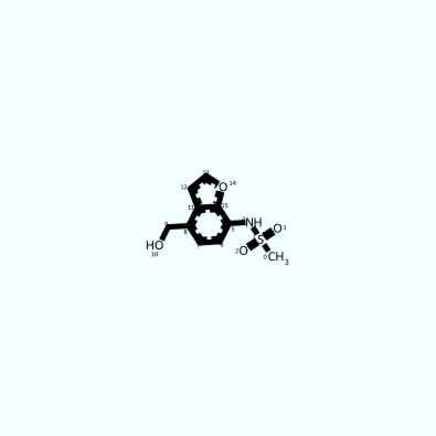 CS(=O)(=O)Nc1ccc(CO)c2ccoc12